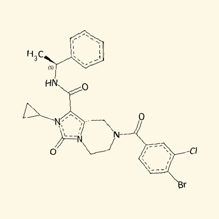 C[C@H](NC(=O)c1c2n(c(=O)n1C1CC1)CCN(C(=O)c1ccc(Br)c(Cl)c1)C2)c1ccccc1